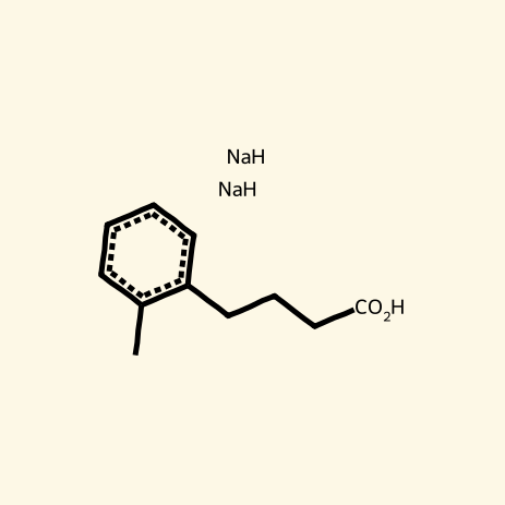 Cc1ccccc1CCCC(=O)O.[NaH].[NaH]